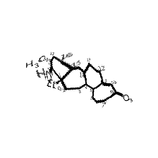 CC[C@]12CCC3C4CCC(=O)C=C4CCC3C1CC[C@]2(C)O